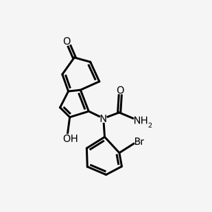 NC(=O)N(C1=C2C=CC(=O)C=C2C=C1O)c1ccccc1Br